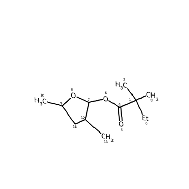 CCC(C)(C)C(=O)OC1OC(C)CC1C